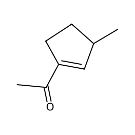 CC(=O)C1=CC(C)CC1